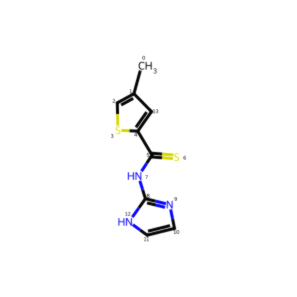 Cc1csc(C(=S)Nc2ncc[nH]2)c1